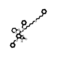 O=c1[nH]c2c(OCc3ccccc3)ccc([C@H](CN(CCCCCCOCCCCc3ccccc3)Cc3ccccc3)OC3CCCCO3)c2s1